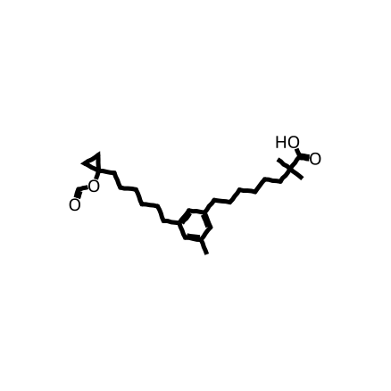 Cc1cc(CCCCCCC2(OC=O)CC2)cc(CCCCCCC(C)(C)C(=O)O)c1